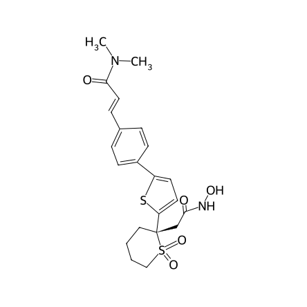 CN(C)C(=O)/C=C/c1ccc(-c2ccc([C@@]3(CC(=O)NO)CCCCS3(=O)=O)s2)cc1